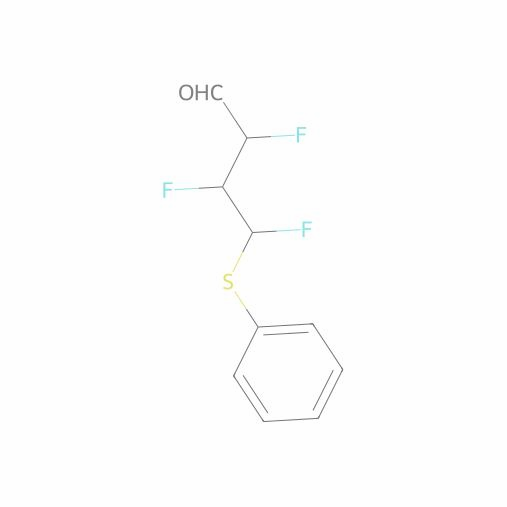 O=CC(F)C(F)C(F)Sc1ccccc1